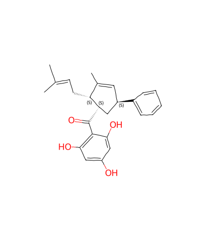 CC(C)=CC[C@@H]1C(C)=C[C@@H](c2ccccc2)C[C@@H]1C(=O)c1c(O)cc(O)cc1O